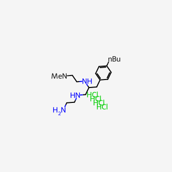 CCCCc1ccc(CC(CNCCN)NCCNC)cc1.Cl.Cl.Cl.Cl